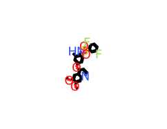 COc1cc2nccc(Oc3ccc(NS(=O)(=O)c4cc(F)ccc4F)c(C)c3)c2cc1OC